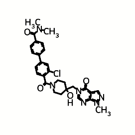 CN(C)C(=O)c1ccc(-c2ccc(C(=O)N3CCC(O)(Cn4cnc5c(cnn5C)c4=O)CC3)c(Cl)c2)cc1